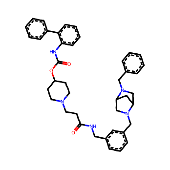 O=C(CCN1CCC(OC(=O)Nc2ccccc2-c2ccccc2)CC1)NCc1cccc(CN2CC3CC2CN3Cc2ccccc2)c1